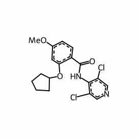 COc1ccc(C(=O)Nc2c(Cl)cncc2Cl)c(OC2CCCC2)c1